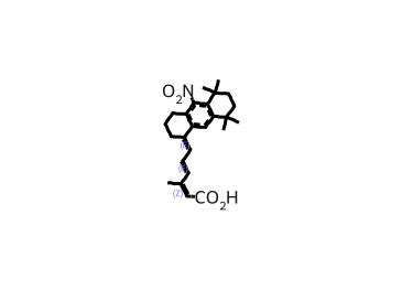 CC(=C/C(=O)O)/C=C/C=C1\CCCc2c1cc1c(c2[N+](=O)[O-])C(C)(C)CCC1(C)C